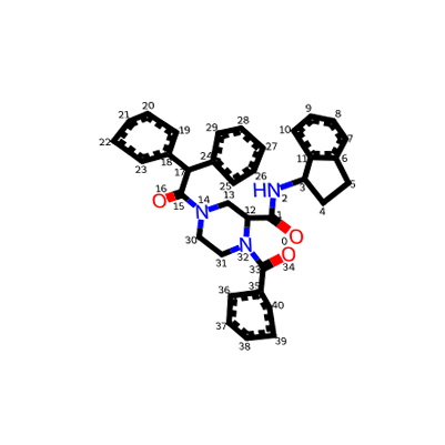 O=C(NC1CCc2ccccc21)C1CN(C(=O)C(c2ccccc2)c2ccccc2)CCN1C(=O)c1ccccc1